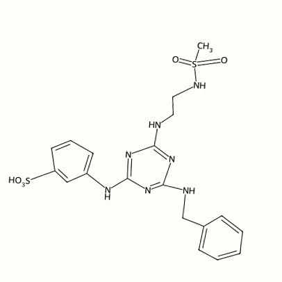 CS(=O)(=O)NCCNc1nc(NCc2ccccc2)nc(Nc2cccc(S(=O)(=O)O)c2)n1